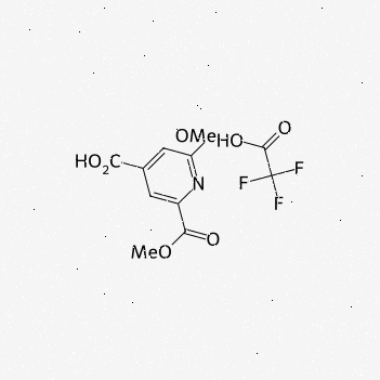 COC(=O)c1cc(C(=O)O)cc(OC)n1.O=C(O)C(F)(F)F